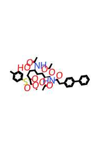 COC(=O)[C@@]1(Sc2ccc(C)cc2)C[C@H](O)[C@@H](NC(C)=O)[C@H]([C@H](OC(C)=O)[C@@H](CNC(=O)Cc2ccc(-c3ccccc3)cc2)OC(C)=O)O1